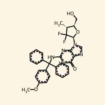 COc1ccc(C(Nc2nc3c(ncn3[C@@H]3O[C@H](CO)[C@@H](C)C3(F)F)c(=O)[nH]2)(c2ccccc2)c2ccccc2)cc1